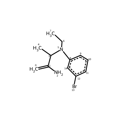 C=C(N)C(C)N(CC)c1cccc(Br)c1